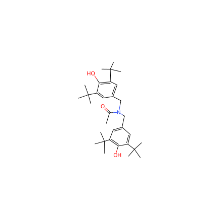 CC(=O)N(Cc1cc(C(C)(C)C)c(O)c(C(C)(C)C)c1)Cc1cc(C(C)(C)C)c(O)c(C(C)(C)C)c1